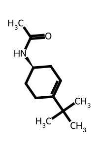 CC(=O)N[C@H]1CC=C(C(C)(C)C)CC1